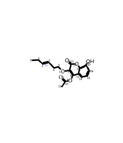 CC/C=C/CCOc1c(OC(C)=O)c2cccc(O)c2oc1=O